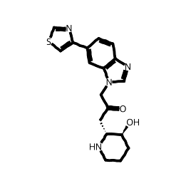 O=C(C[C@H]1NCCC[C@@H]1O)Cn1cnc2ccc(-c3cscn3)cc21